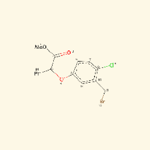 COC(=O)C(Oc1ccc(Cl)c(CBr)c1)C(C)C